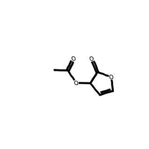 CC(=O)OC1C=COC1=O